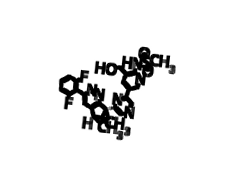 CC1(C)[C@H]2CC[C@]1(c1cncc(-c3cnc(NS(C)(=O)=O)c(CO)c3)n1)c1nnc(-c3c(F)cccc3F)cc12